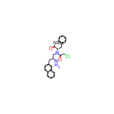 CNC(=O)[C@@H](Cc1ccccc1)N(C[C@@H](N)Cc1ccc2ccccc2c1)C(=O)CCl